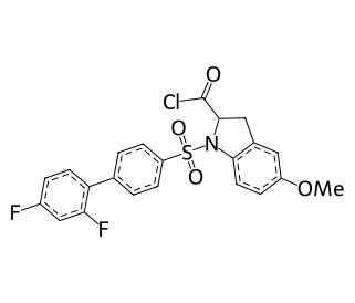 COc1ccc2c(c1)CC(C(=O)Cl)N2S(=O)(=O)c1ccc(-c2ccc(F)cc2F)cc1